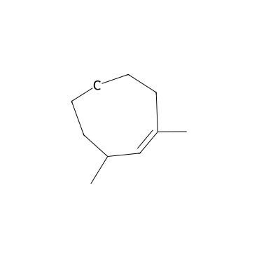 CC1=CC(C)CCCCC1